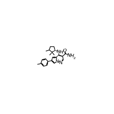 Cc1ccc(-c2cc3c(N[C@@H]4CCC(C)C4(C)C)c(C(N)=O)cnn3c2)cc1